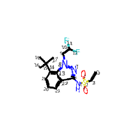 CCS(=O)(=O)Nc1nn(CC(F)F)c2c(C(C)(C)C)cccc12